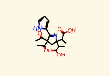 CC(=O)C1(C(C)=O)CC(C(C)C(=O)O)(C(C)C(=O)O)N=C1c1ccc[nH]1